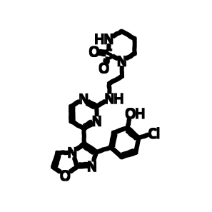 O=S1(=O)NCCCN1CCNc1nccc(-c2c(-c3ccc(Cl)c(O)c3)nc3occn23)n1